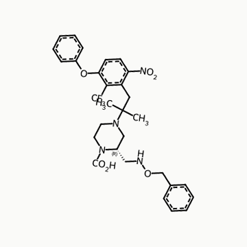 CC(C)(Cc1c([N+](=O)[O-])ccc(Oc2ccccc2)c1C(F)(F)F)N1CCN(C(=O)O)[C@@H](CNOCc2ccccc2)C1